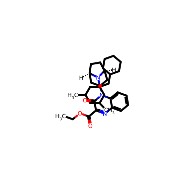 CCOC(=O)c1nc2ccccc2n([C@@H]2C[C@H]3CC[C@@H](C2)N3C2(CC3CCCCC3)CC(C)CC(C)C2)c1=O